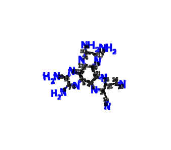 N#Cc1nc2c3nc(N)c(N)nc3c3nc(N)c(N)nc3c2nc1C#N